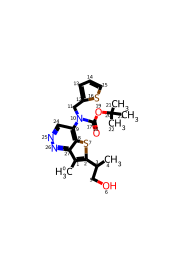 Cc1c(C(C)CO)sc2c(N(Cc3cccs3)C(=O)OC(C)(C)C)cnnc12